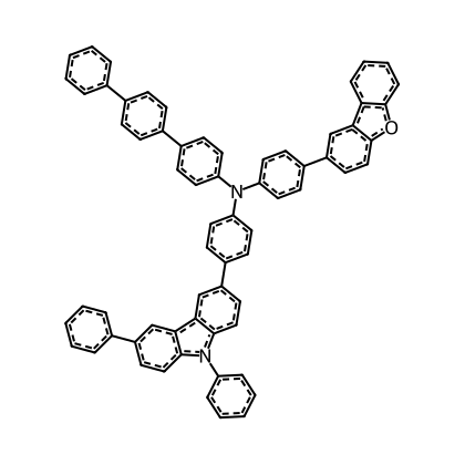 c1ccc(-c2ccc(-c3ccc(N(c4ccc(-c5ccc6oc7ccccc7c6c5)cc4)c4ccc(-c5ccc6c(c5)c5cc(-c7ccccc7)ccc5n6-c5ccccc5)cc4)cc3)cc2)cc1